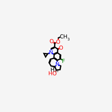 CCOC(=O)c1cn(C2CC2)c2c3c(c(F)cc2c1=O)N1CC[C@H](O)[C@H]1CC=C3